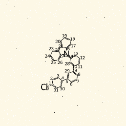 Clc1ccc(-c2cccc(-c3cccc(-n4c5ccccc5c5ccccc54)c3)c2)cc1